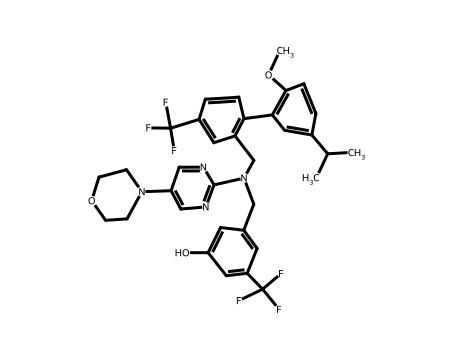 COc1ccc(C(C)C)cc1-c1ccc(C(F)(F)F)cc1CN(Cc1cc(O)cc(C(F)(F)F)c1)c1ncc(N2CCOCC2)cn1